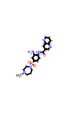 CN1CCCN(S(=O)(=O)c2ccc(NC(=O)c3cnc4cccnc4c3)c(N)c2)CC1